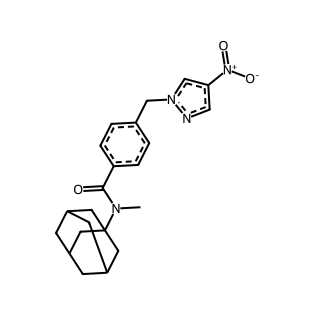 CN(C(=O)c1ccc(Cn2cc([N+](=O)[O-])cn2)cc1)C12CC3CC(CC(C3)C1)C2